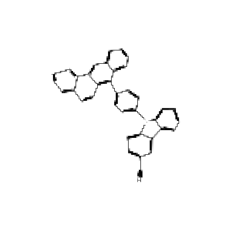 N#Cc1ccc2c(c1)c1ccccc1n2-c1ccc(-c2c3ccccc3cc3c2ccc2ccccc23)cc1